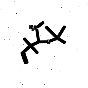 C=CC(C)(C)C(O[Si](C)(C)C)[SiH2]C